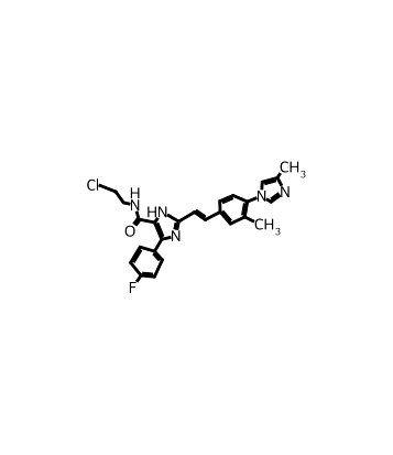 Cc1cn(-c2ccc(/C=C/c3nc(-c4ccc(F)cc4)c(C(=O)NCCCl)[nH]3)cc2C)cn1